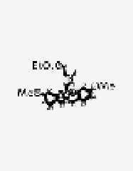 CCOC(=O)CCN(C)CCS(=O)(=O)N(Cc1ccc(OC)cc1)Cc1ccc(OC)cc1